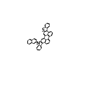 c1ccc2cc(-n3c4ccccc4c4c5cccc6c7cccc8c9c(cc(c(cc43)c65)c78)sc3ccccc39)ccc2c1